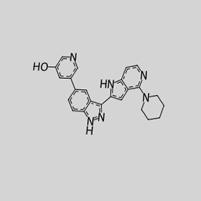 Oc1cncc(-c2ccc3[nH]nc(-c4cc5c(N6CCCCC6)nccc5[nH]4)c3c2)c1